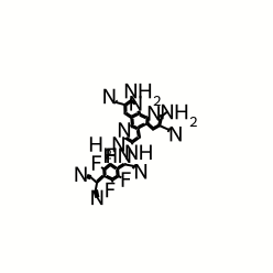 N#CC(C#N)=c1c(F)c(F)c(=C(C#N)NNc2cc3c4cc(C#N)c(N)nc4c4nc(N)c(C#N)cc4c3nc2N)c(F)c1F